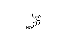 CC(=O)Oc1cccc2c1CCC(CO)C2